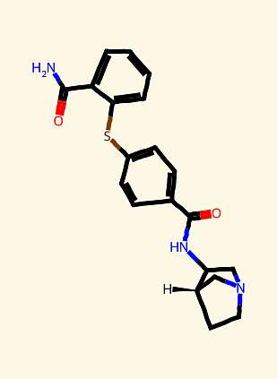 NC(=O)c1ccccc1Sc1ccc(C(=O)NC2CN3CC[C@H]2C3)cc1